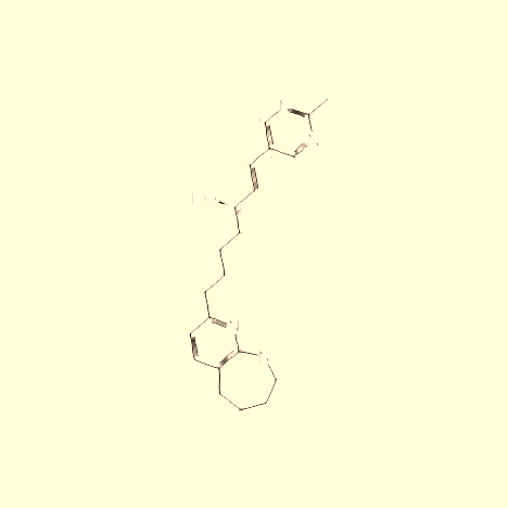 Cc1ncc(C=C[C@H](O)CCCCc2ccc3c(n2)NCCCC3)cn1